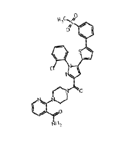 CS(=O)(=O)c1cccc(-c2ccc(-c3cc(C(=O)N4CCN(c5ncccc5C(N)=O)CC4)nn3-c3ccccc3Cl)s2)c1